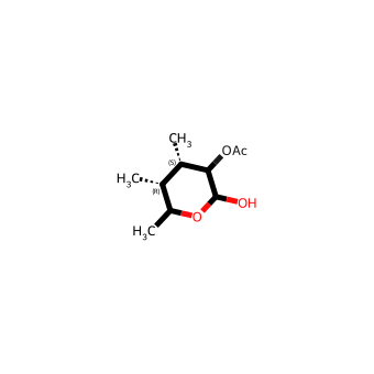 CC(=O)OC1C(O)OC(C)[C@H](C)[C@@H]1C